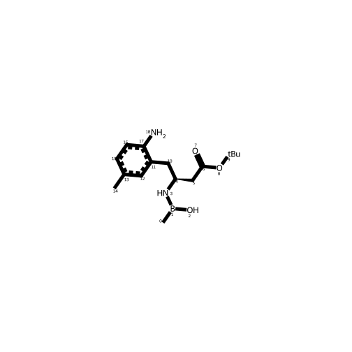 CB(O)N[C@H](CC(=O)OC(C)(C)C)Cc1cc(C)ccc1N